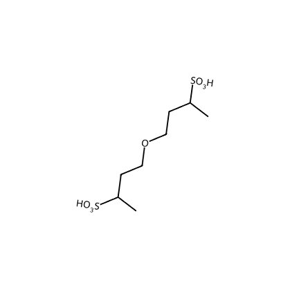 CC(CCOCCC(C)S(=O)(=O)O)S(=O)(=O)O